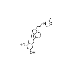 C=C1/C(=C\C=C2/CCC[C@]3(C)[C@@H]([C@H](C)CCN4CCO[C@H](C)C4)CC[C@@H]23)C[C@@H](O)C[C@@H]1O